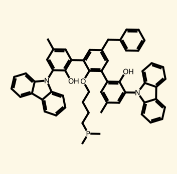 Cc1cc(-c2cc(Cc3ccccc3)cc(-c3cc(C)cc(-n4c5ccccc5c5ccccc54)c3O)c2OCCCCP(C)C)c(O)c(-n2c3ccccc3c3ccccc32)c1